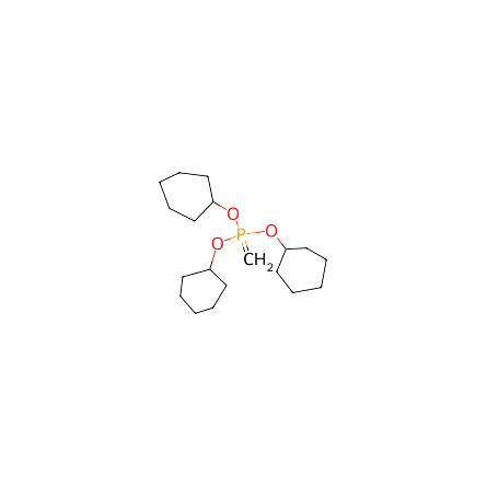 C=P(OC1CCCCC1)(OC1CCCCC1)OC1CCCCC1